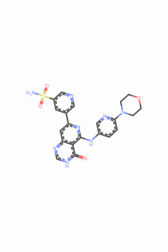 NS(=O)(=O)c1cncc(-c2cc3nc[nH]c(=O)c3c(Nc3ccc(N4CCOCC4)nc3)n2)c1